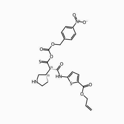 C=CCOC(=O)c1ccc(NC(=O)[C@@H](C(=S)OC(=O)OCc2ccc([N+](=O)[O-])cc2)[C@@H]2CCNC2)s1